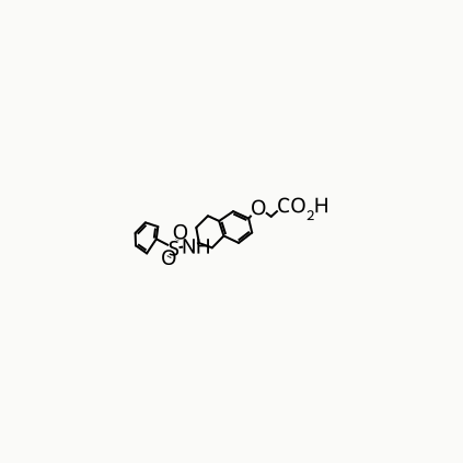 O=C(O)COc1ccc2c(c1)CCC(NS(=O)(=O)c1ccccc1)C2